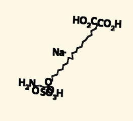 NC(=O)CC(C(=O)OCCCCCCCCCCCCCCCCCCCC(C(=O)O)C(=O)O)S(=O)(=O)O.[Na]